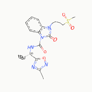 Cc1noc([C@@H](NC(=O)n2c(=O)n(CCS(C)(=O)=O)c3ccccc32)C(C)(C)C)n1